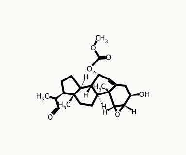 COC(=O)O[C@@H]1C=C2C[C@@H](O)[C@@H]3O[C@@H]3[C@]2(C)[C@H]2CC[C@]3(C)[C@@H](C(C)C=O)CC[C@H]3[C@H]12